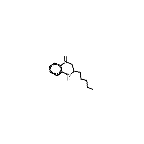 CCCCCC1CNc2ccccc2N1